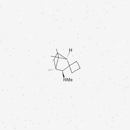 CN[C@@H]1C2(CCC2)[C@@H]2CC[C@@]1(C)C2(C)C